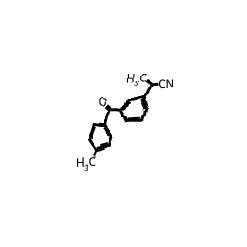 Cc1ccc(C(=O)c2cccc(C(C)C#N)c2)cc1